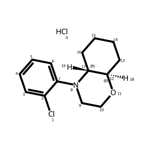 Cl.Clc1ccccc1N1CCO[C@@H]2CCCC[C@H]21